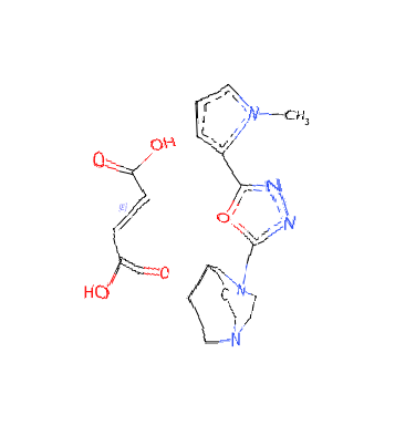 Cn1cccc1-c1nnc(N2CCN3CCC2CC3)o1.O=C(O)/C=C/C(=O)O